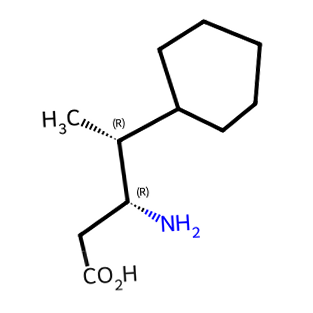 C[C@H](C1CCCCC1)[C@H](N)CC(=O)O